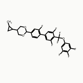 CC1CC1C1COC(c2ccc(-c3cc(F)c(C(F)(F)Oc4cc(F)c(F)c(F)c4)c(F)c3)c(F)c2)OC1